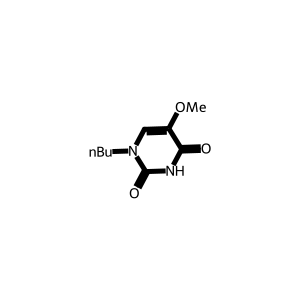 CCCCn1cc(OC)c(=O)[nH]c1=O